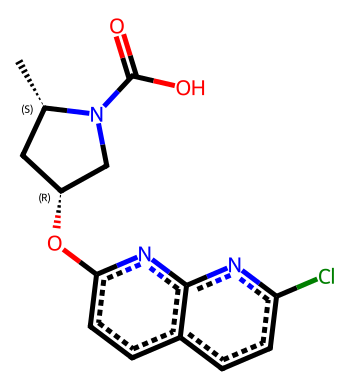 C[C@H]1C[C@@H](Oc2ccc3ccc(Cl)nc3n2)CN1C(=O)O